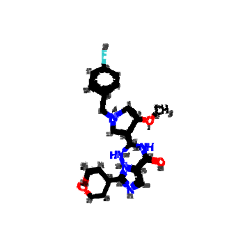 COC1CN(Cc2ccc(F)cc2)CC1C1NC(=O)c2cnc(C3CCOCC3)n2N1